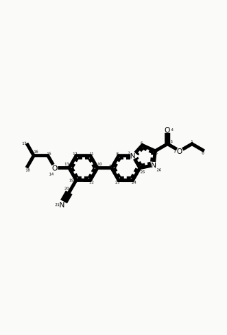 CCOC(=O)c1cn2cc(-c3ccc(OCC(C)C)c(C#N)c3)ccc2n1